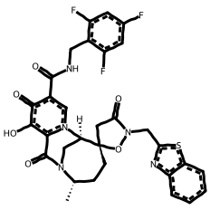 C[C@H]1CC[C@]2(CC(=O)N(Cc3nc4ccccc4s3)O2)[C@H]2CN1C(=O)c1c(O)c(=O)c(C(=O)NCc3c(F)cc(F)cc3F)cn12